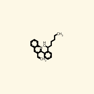 C=Cc1cc2ccccc2nc1-c1ccccc1C(O)CCCCC